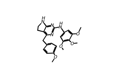 COc1ccc(Cc2nc(Nc3cc(OC)c(OC)c(OC)c3)nc3c2CCN3)cc1